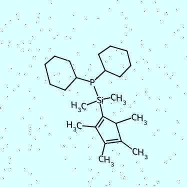 CC1=C(C)C(C)C([Si](C)(C)P(C2CCCCC2)C2CCCCC2)=C1C